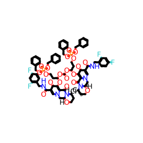 C[C@@H]1CCO[C@H]2Cn3cc(C(=O)NCc4ccc(F)cc4F)c(=O)c(OC(CCOP(=O)(OCc4ccccc4)OCc4ccccc4)OC(=O)OC(CCOP(=O)(OCc4ccccc4)OCc4ccccc4)Oc4c5n(cc(C(=O)NCc6ccc(F)cc6F)c4=O)C[C@@H]4OCC[C@@H](C)N4C5=O)c3C(=O)N12